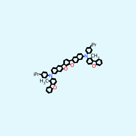 Cc1c(N(c2ccc(C(C)C)cc2)c2ccc3cc4c(cc3c2)oc2c4ccc3c4cc5ccc(N(c6ccc(C(C)C)cc6)c6ccc7oc8ccccc8c7c6C)cc5cc4oc32)ccc2oc3ccccc3c12